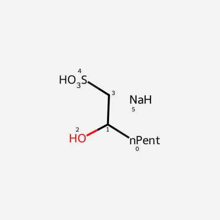 CCCCCC(O)CS(=O)(=O)O.[NaH]